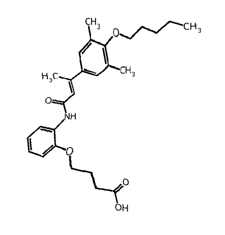 CCCCCOc1c(C)cc(C(C)=CC(=O)Nc2ccccc2OCCCC(=O)O)cc1C